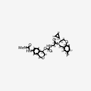 CNC(=O)Nc1ccc2c(c1)COC[C@@H]2OC(=O)NCC(=O)N1Cc2cc(F)ccc2OC[C@H]1C1CC1